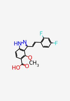 COc1c(C(=O)O)ccc2[nH]nc(/C=C/c3ccc(F)cc3F)c12